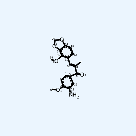 COc1ccc(C(=O)/C(C)=C/c2ccc3c(c2OC)OCO3)cc1N